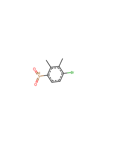 Cc1c(Br)ccc([SH](=O)=O)c1C